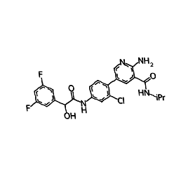 CC(C)NC(=O)c1cc(-c2ccc(NC(=O)C(O)c3cc(F)cc(F)c3)cc2Cl)cnc1N